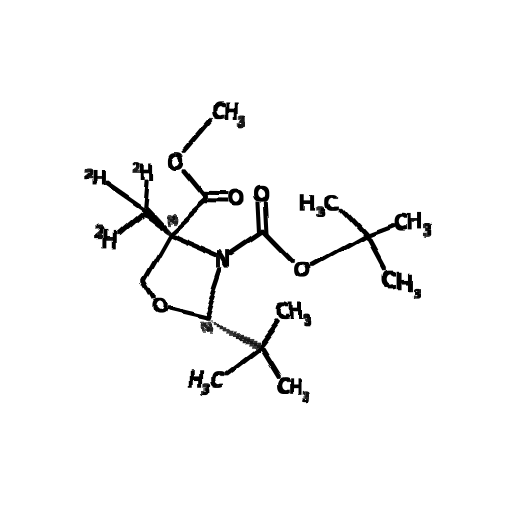 [2H]C([2H])([2H])[C@]1(C(=O)OC)CO[C@@H](C(C)(C)C)N1C(=O)OC(C)(C)C